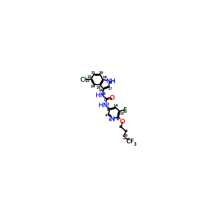 O=C(Nc1cnc(OCCSC(F)(F)F)c(F)c1)Nc1c[nH]c2ccc(Cl)cc12